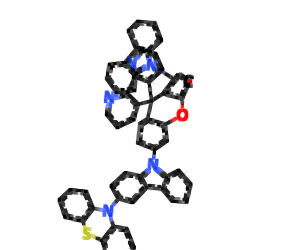 c1ccc2c(c1)Sc1ccccc1N2c1ccc2c(c1)c1ccccc1n2-c1ccc2c(c1)Oc1cccc(-n3c4ccccc4c4ccccc43)c1C21c2cccnc2-c2ncccc21